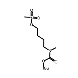 CN(CCCCOS(C)(=O)=O)C(=O)OC(C)(C)C